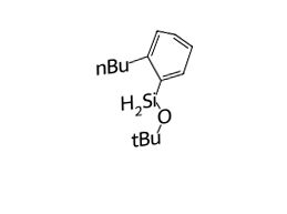 CCCCc1ccccc1[SiH2]OC(C)(C)C